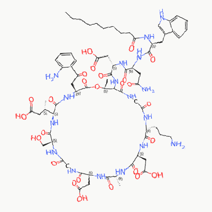 CCCCCCCCCC(=O)N[C@@H](Cc1c[nH]c2ccccc12)C(=O)N[C@@H](CC(N)=O)C(=O)N[C@@H](CC(=O)O)C(=O)NC1C(=O)NCC(=O)N[C@H](CCCN)C(=O)N[C@@H](CC(=O)O)C(=O)N[C@H](C)C(=O)N[C@@H](CC(=O)O)C(=O)NCC(=O)N[C@@H](CO)C(=O)N[C@@H]([C@@H](C)CC(=O)O)C(=O)N[C@@H](CC(=O)c2ccccc2N)C(=O)O[C@H]1C